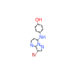 Oc1ccc(Nc2ccnc3c(Br)cnn23)cc1